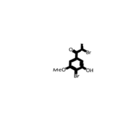 COc1cc(C(=O)C(C)Br)cc(O)c1Br